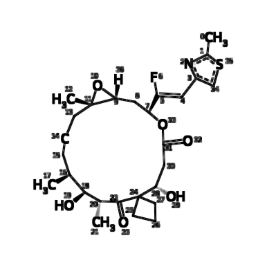 Cc1nc(C=C(F)[C@@H]2C[C@H]3O[C@@]3(C)CCC[C@H](C)[C@H](O)[C@@H](C)C(=O)C3(CCC3)[C@@H](O)CC(=O)O2)cs1